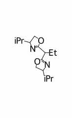 CCC(C1=NC(C(C)C)CO1)C1=NC(C(C)C)CO1